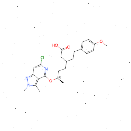 COc1ccc(CCC(CC[C@@H](C)Oc2nc(Cl)cc3nn(C)c(C)c23)CC(=O)O)cc1